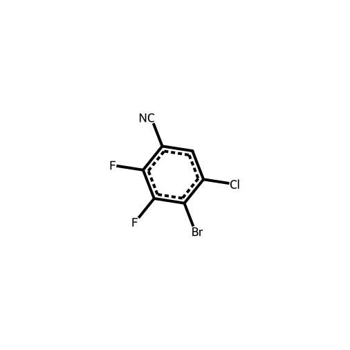 N#Cc1cc(Cl)c(Br)c(F)c1F